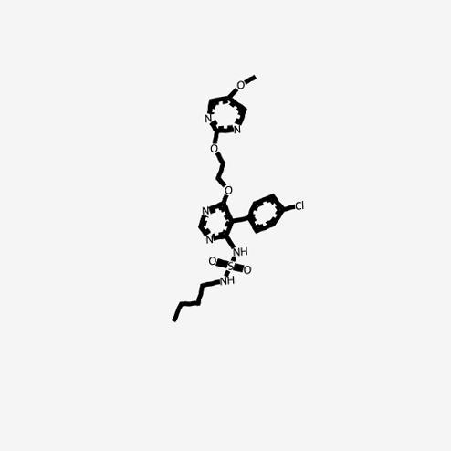 CCCCNS(=O)(=O)Nc1ncnc(OCCOc2ncc(OC)cn2)c1-c1ccc(Cl)cc1